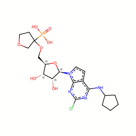 O=P(O)(O)C1(OC[C@H]2O[C@@H](n3ccc4c(NC5CCCC5)nc(Cl)nc43)[C@H](O)[C@@H]2O)CCOC1